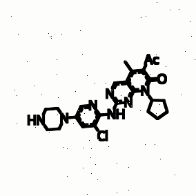 CC(=O)c1c(C)c2cnc(Nc3ncc(N4CCNCC4)cc3Cl)nc2n(C2CCCC2)c1=O